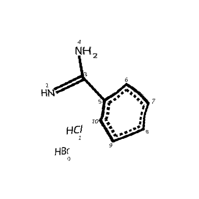 Br.Cl.N=C(N)c1ccccc1